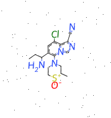 CCC(N)c1cc(Cl)c2c(C#N)ncn2c1N1CC[S+]([O-])C(C)C1